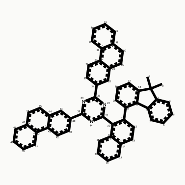 CC1(C)c2ccccc2-c2c(-c3ccc4ccccc4c3-c3nc(-c4ccc5c(ccc6ccccc65)c4)nc(-c4ccc5c(ccc6ccccc65)c4)n3)cccc21